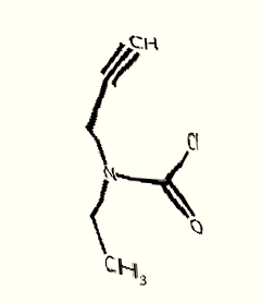 C#CCN(CC)C(=O)Cl